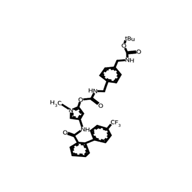 Cn1cc(NC(=O)c2ccccc2-c2ccc(C(F)(F)F)cc2)cc1OC(=O)NCc1ccc(CNC(=O)OC(C)(C)C)cc1